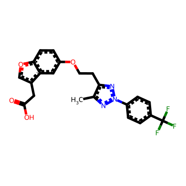 Cc1nn(-c2ccc(C(F)(F)F)cc2)nc1CCOc1ccc2occ(CC(=O)O)c2c1